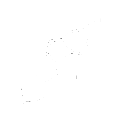 Oc1ccc2c(CN3CCOCC3)c[n-]c2c1.[Na+]